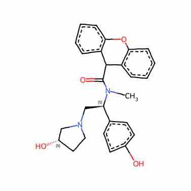 CN(C(=O)C1c2ccccc2Oc2ccccc21)[C@H](CN1CC[C@H](O)C1)c1ccc(O)cc1